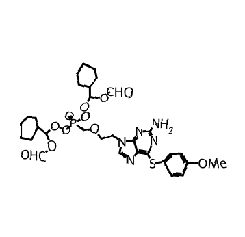 COc1ccc(Sc2nc(N)nc3c2ncn3CCOCP(=O)(OOC(OC=O)C2CCCCC2)OOC(OC=O)C2CCCCC2)cc1